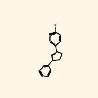 Fc1ccc([C@H]2CC[C@@H](c3ccccc3)C2)cc1